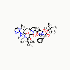 CC[C@H](C)[C@@H]([C@@H](CC(=O)N1CCC[C@H]1[C@H](OC)[C@@H](C)C(=O)N[C@@H](Cc1ccccc1)C(=O)OC(C)(C)C(C)(C)C)OC)N(C)C(=O)[C@@H](Nc1ncccn1)C(C)C